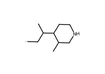 [CH2]CC(C)C1CCNCC1C